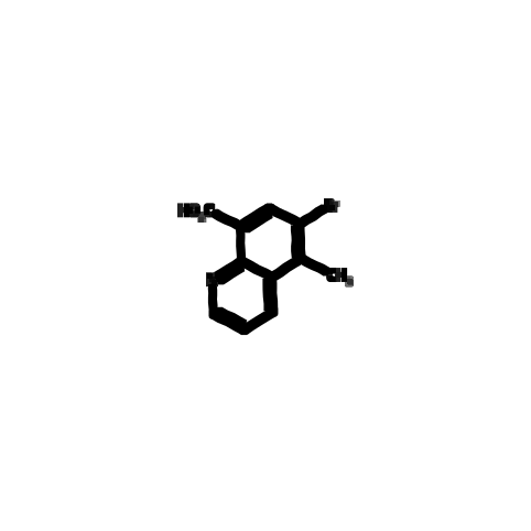 Cc1c(Br)cc(C(=O)O)c2ncccc12